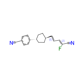 N#C/C(F)=C/C=C/[C@H]1CC[C@H](c2ccc(C#N)cc2)CC1